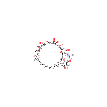 CC(C)C(CO)NC(=O)C1[C@@H]2CC(O[C@@H]3OC[C@@H](O)[C@H](N)[C@@H]3O)/C=C/C=C/C=C/C=C/C=C/C=C/C=C/[C@H](C)[C@@H](O)C[C@H](C)OC(=O)CC(O)CC(O)CC[C@@H](O)C(O)CC(O)CC(O)(C[C@@H]1O)O2